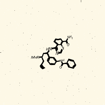 C=CCC(CC(Nc1ncnc2c(C(N)=O)cccc12)c1cccc(NC(=O)c2ccccc2)c1)NC